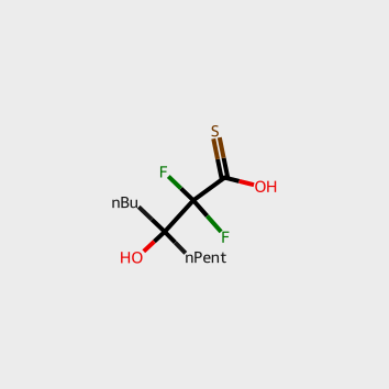 CCCCCC(O)(CCCC)C(F)(F)C(O)=S